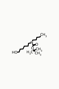 CCCCCN(CCCCCCO)C(=O)OC(C)(C)C